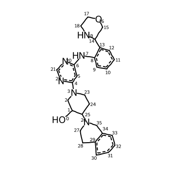 OC1CN(c2cc(Nc3ccccc3C3COCCN3)ncn2)CCC1N1CCc2ccccc2C1